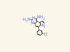 Cn1ccc2c3c(N)nc(N)nc3cc(-c3cccc(Cl)c3)c21